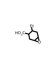 CCC1CC2OC2CC1C(=O)O